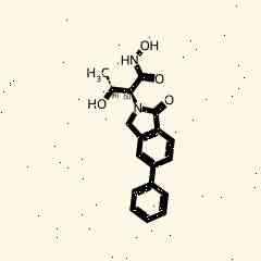 C[C@@H](O)[C@@H](C(=O)NO)N1Cc2cc(-c3ccccc3)ccc2C1=O